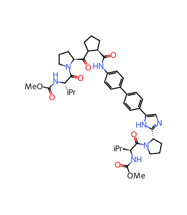 COC(=O)N[C@H](C(=O)N1CCC[C@H]1C(=O)C1CCC[C@H]1C(=O)Nc1ccc(-c2ccc(-c3cnc([C@@H]4CCCN4C(=O)[C@@H](NC(=O)OC)C(C)C)[nH]3)cc2)cc1)C(C)C